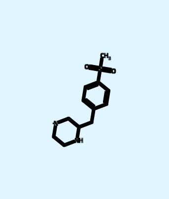 CS(=O)(=O)c1ccc(CC2C[N]CCN2)cc1